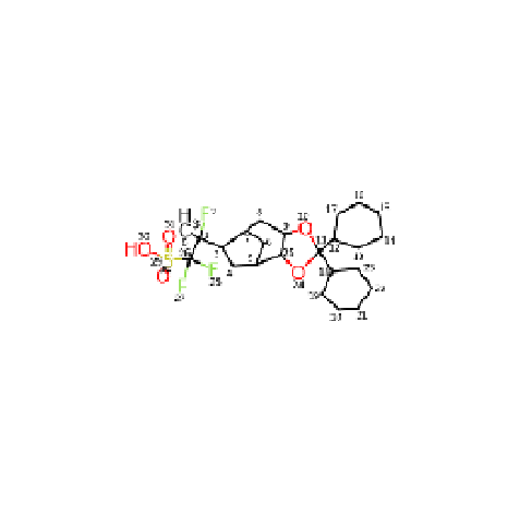 CC(F)(C1CC2CC1CC1OC(C3CCCCC3)(C3CCCCC3)OC21)C(F)(F)S(=O)(=O)O